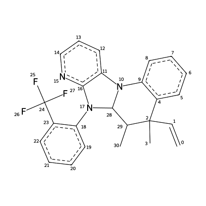 C=CC1(C)c2ccccc2N2c3cccnc3N(c3ccccc3C(F)(F)F)C2C1C